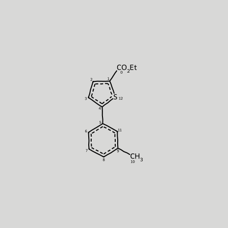 CCOC(=O)c1ccc(-c2cccc(C)c2)s1